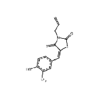 C=CCN1C(=O)S/C(=C/c2ccc(O)c(C(F)(F)F)c2)C1=O